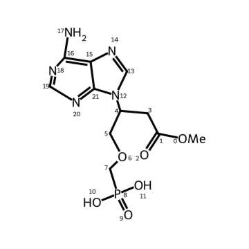 COC(=O)CC(COCP(=O)(O)O)n1cnc2c(N)ncnc21